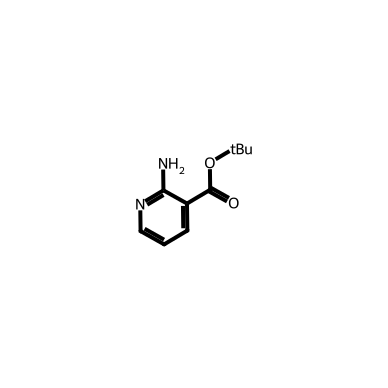 CC(C)(C)OC(=O)c1cccnc1N